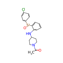 CC(=O)N1CCC(Nc2ccccc2[S+]([O-])c2ccc(Cl)cc2)CC1